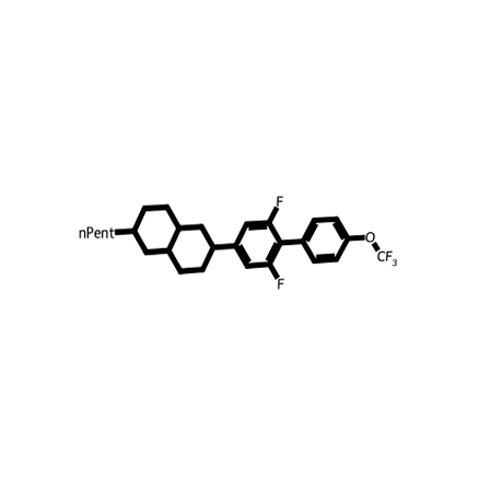 CCCCCC1CCC2CC(c3cc(F)c(-c4ccc(OC(F)(F)F)cc4)c(F)c3)CCC2C1